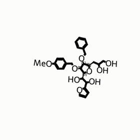 COc1ccc(CO[C@@H]2[C@@H](OCc3ccccc3)[C@@H](CC(O)CO)O[C@H]2C(O)C(O)c2ccco2)cc1